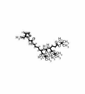 CC(C)(C)OC(=O)CCC(NC(=O)NC(CCCCNC(=O)Cn1nnc(I)c1CN)C(=O)OC(C)(C)C)C(=O)OC(C)(C)C